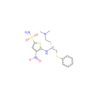 CN(C)CC[C@H](CSc1ccccc1)Nc1sc(S(N)(=O)=O)cc1[N+](=O)[O-]